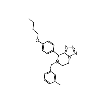 CCCCOc1ccc(C2c3nnnn3CCN2Cc2cccc(C)c2)cc1